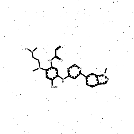 C=CC(=O)Nc1cc(Nc2cc(-c3ccc4cnn(C)c4c3)ncn2)c(OC)cc1N(C)CCN(C)C(C)C